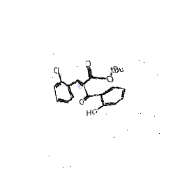 CC(C)(C)OC(=O)/C(=C/c1ccccc1Cl)C(=O)c1ccccc1O